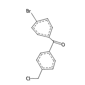 O=C(c1ccc(Br)cc1)c1ccc(CCl)cc1